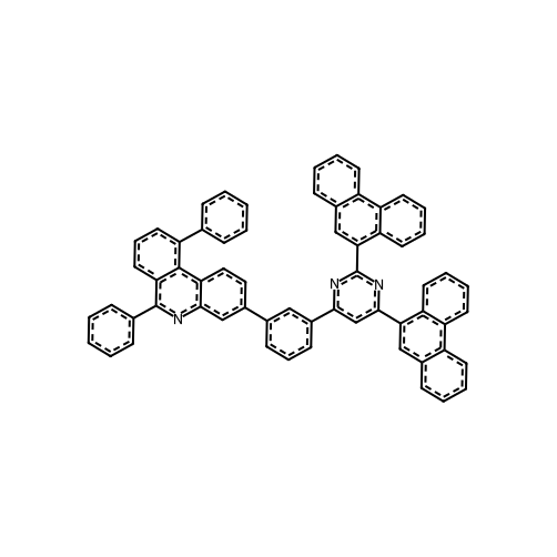 c1ccc(-c2nc3cc(-c4cccc(-c5cc(-c6cc7ccccc7c7ccccc67)nc(-c6cc7ccccc7c7ccccc67)n5)c4)ccc3c3c(-c4ccccc4)cccc23)cc1